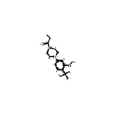 CCC(=O)N1CCN(c2ccc(C(C)(C)C)c(OC)c2)CC1